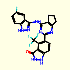 O=c1[nH][nH]c2ccc(-c3nc4c(c(Nc5n[nH]c6ccc(F)cc56)n3)CCC4)c(C(F)(F)F)c12